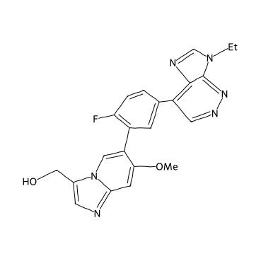 CCn1cnc2c(-c3ccc(F)c(-c4cn5c(CO)cnc5cc4OC)c3)cnnc21